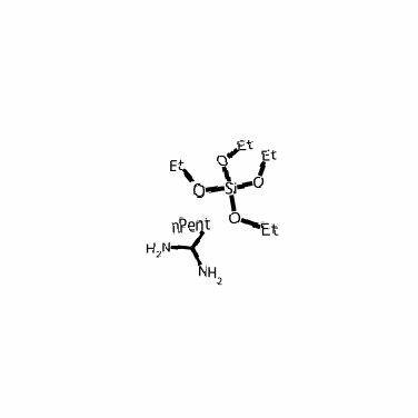 CCCCCC(N)N.CCO[Si](OCC)(OCC)OCC